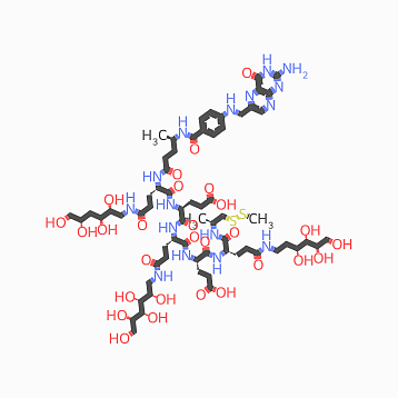 CSSC[C@@H](C)NC(=O)[C@H](CCC(=O)NCC[C@@H](O)[C@H](O)[C@H](O)CO)NC(=O)[C@H](CCC(=O)O)NC(=O)[C@H](CCC(=O)NC[C@H](O)[C@@H](O)[C@H](O)[C@H](O)CO)NC(=O)[C@H](CCC(=O)O)NC(=O)[C@H](CCC(=O)NC[C@H](O)[C@@H](O)C[C@H](O)CO)NC(=O)CC[C@@H](C)NC(=O)c1ccc(NCc2cnc3nc(N)[nH]c(=O)c3n2)cc1